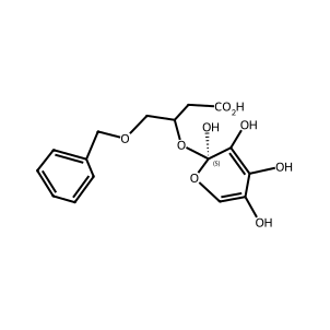 O=C(O)CC(COCc1ccccc1)O[C@]1(O)OC=C(O)C(O)=C1O